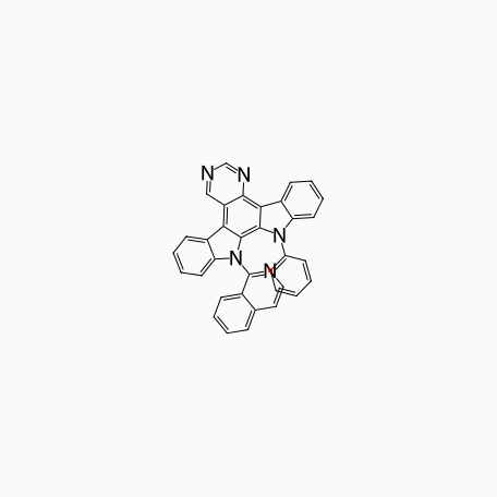 c1ccc(-n2c3ccccc3c3c4ncncc4c4c5ccccc5n(-c5nccc6ccccc56)c4c32)cc1